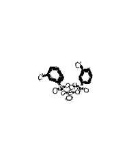 CP(=O)(OS(=O)(=O)c1cccc(Cl)c1)OS(=O)(=O)c1cccc(Cl)c1